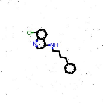 Clc1cccc2c(NCCCCc3ccccc3)ccnc12